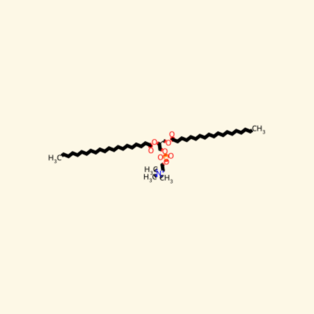 CCCCCCCCCCCCCCCCCCCCC(=O)O[C@H](COC(=O)CCCCCCCCCCCCCCCCCC)COP(=O)([O-])OCC[N+](C)(C)C